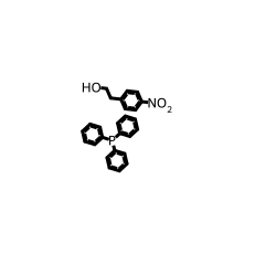 O=[N+]([O-])c1ccc(CCO)cc1.c1ccc(P(c2ccccc2)c2ccccc2)cc1